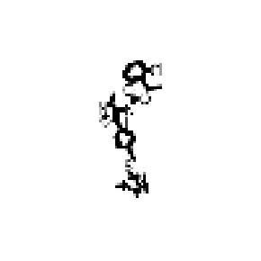 Cc1noc(-c2ccc(CSc3nnnn3C)cc2)c1NC(=O)OC(C)c1ccccc1Cl